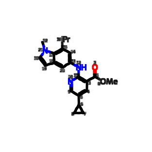 COC(=O)c1cc(C2CC2)cnc1Nc1cc(C(C)C)c2c(ccn2C)c1